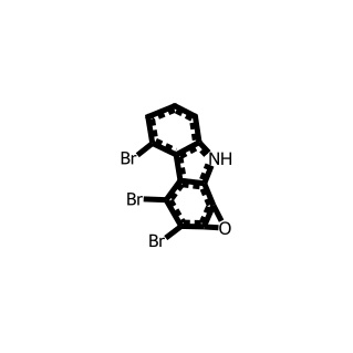 Brc1c2c(c3[nH]c4cccc(Br)c4c3c1Br)O2